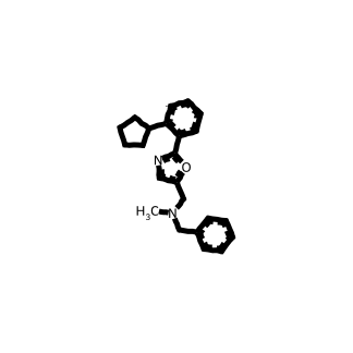 CN(Cc1ccccc1)Cc1cnc(-c2ccc[c]c2C2CCCC2)o1